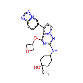 CC1(O)CCC(Nc2nc(OC3COC3)c3c(-c4ccc5ncnn5c4)ccn3n2)CC1